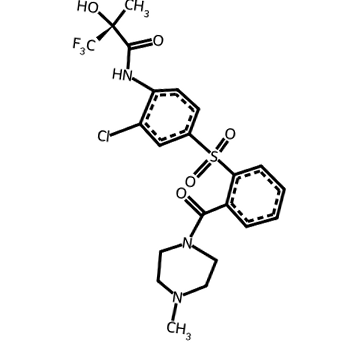 CN1CCN(C(=O)c2ccccc2S(=O)(=O)c2ccc(NC(=O)[C@@](C)(O)C(F)(F)F)c(Cl)c2)CC1